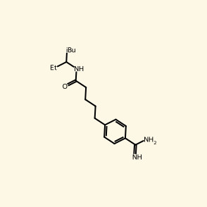 CCC(C)C(CC)NC(=O)CCCCc1ccc(C(=N)N)cc1